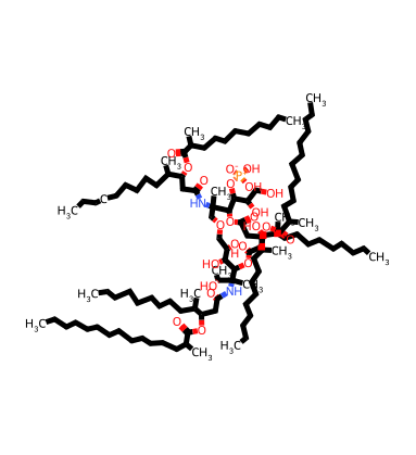 CCCCCCCCCCCCCC(C)C(=O)OC(CC(=O)NC(C)(C(C)O)C(OC(=O)CC(O)C(C)CCCCCCCCC)C(O)C(O)COCC(C)(NC(=O)CC(OC(=O)C(C)CCCCCCCCC)C(C)CCCCCCCCC)C(OC(=O)CC(OC(=O)C(C)CCCCCCCCCCC)C(C)CCCCCCCCC)C(O[P+]([O-])(O)O)C(O)CO)C(C)CCCCCCCCC